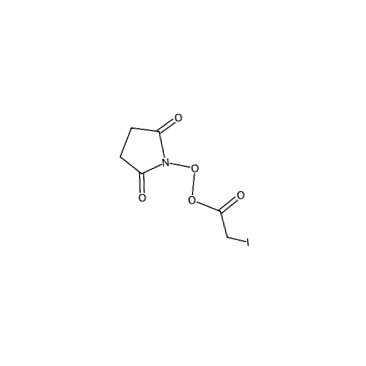 O=C(CI)OON1C(=O)CCC1=O